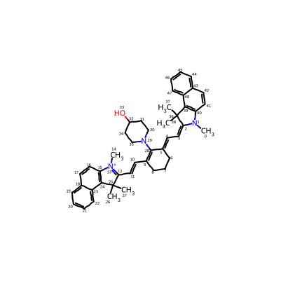 CN1/C(=C/C=C2\CCCC(/C=C/C3=[N+](C)c4ccc5ccccc5c4C3(C)C)=C2N2CCC(O)CC2)C(C)(C)c2c1ccc1ccccc21